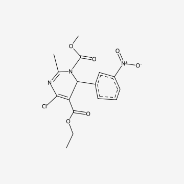 CCOC(=O)C1=C(Cl)N=C(C)N(C(=O)OC)C1c1cccc([N+](=O)[O-])c1